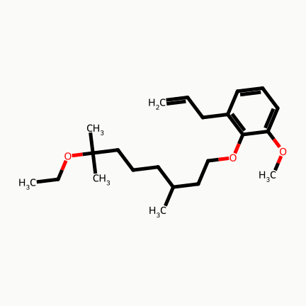 C=CCc1cccc(OC)c1OCCC(C)CCCC(C)(C)OCC